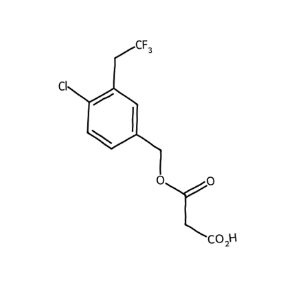 O=C(O)CC(=O)OCc1ccc(Cl)c(CC(F)(F)F)c1